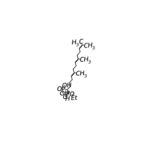 CCO[PH](=O)C(CCC/C=C(\C)CC/C=C(\C)CCC=C(C)C)P(=O)(O)O